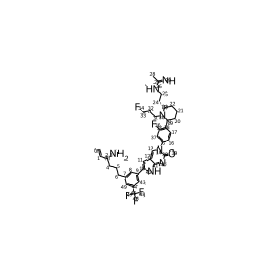 C=C[C@H](N)CCCc1cc(-c2cc3cn(-c4ccc([C@@H]5CCC[C@@H](CCNC(C)=N)N5CCCF)c(F)c4)c(=O)nc3[nH]2)cc(C(F)(F)F)c1